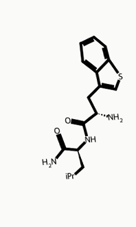 CC(C)C[C@H](NC(=O)[C@@H](N)Cc1csc2ccccc12)C(N)=O